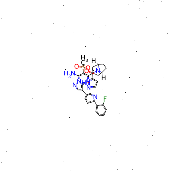 CS(=O)(=O)c1c(C2C[C@H]3CC[C@@H](C2)N3C(=O)c2ccn[nH]2)nc2c(-c3ccc(-c4ccccc4F)nc3)cnn2c1N